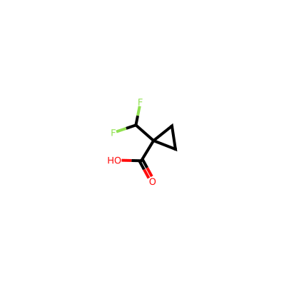 O=C(O)C1(C(F)F)CC1